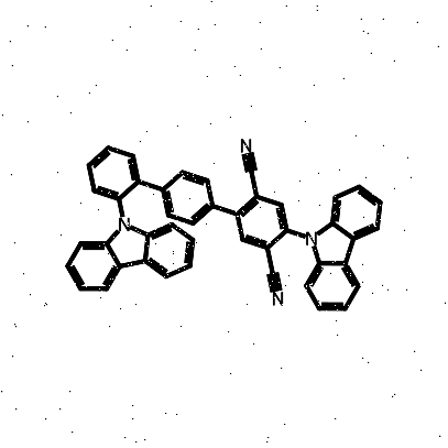 N#Cc1cc(-n2c3ccccc3c3ccccc32)c(C#N)cc1-c1ccc(-c2ccccc2-n2c3ccccc3c3ccccc32)cc1